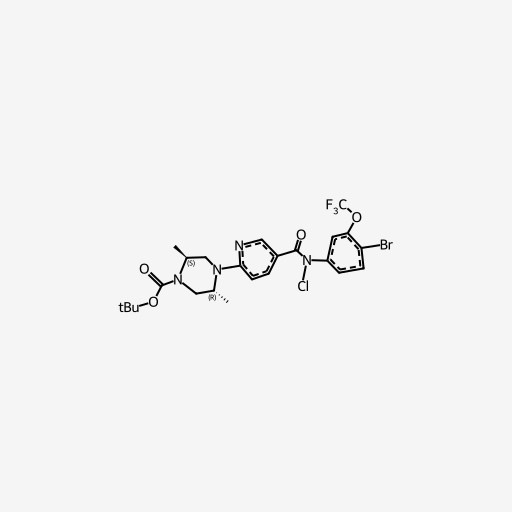 C[C@@H]1CN(C(=O)OC(C)(C)C)[C@@H](C)CN1c1ccc(C(=O)N(Cl)c2ccc(Br)c(OC(F)(F)F)c2)cn1